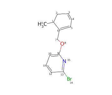 CC1CC=CC=C1COc1cccc(Br)n1